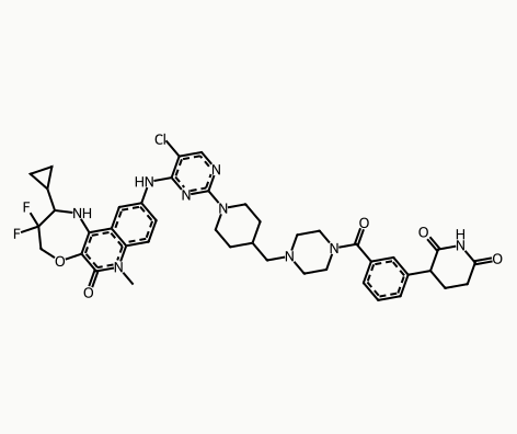 Cn1c(=O)c2c(c3cc(Nc4nc(N5CCC(CN6CCN(C(=O)c7cccc(C8CCC(=O)NC8=O)c7)CC6)CC5)ncc4Cl)ccc31)NC(C1CC1)C(F)(F)CO2